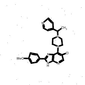 COc1ccc(-c2nc3c(N4CCN(C(C)c5ccncc5)CC4)c(Cl)cnc3[nH]2)cc1